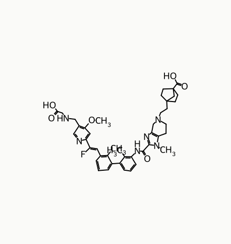 COc1cc(/C(F)=C/c2cccc(-c3cccc(NC(=O)c4nc5c(n4C)CCN(CCC46CCC(C(=O)O)(CC4)C6)C5)c3C)c2C)ncc1CNCC(=O)O